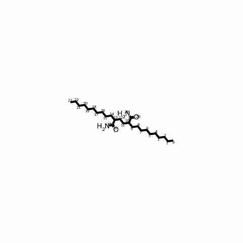 CCCCCCCCCCC(CCC(CCCCCCCCCC)C(N)=O)C(N)=O